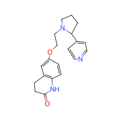 O=C1CCc2cc(OCCN3CCCC3c3ccncc3)ccc2N1